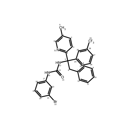 Cc1ccc(C(Cc2ccccc2)(NC(=O)Nc2cccc(Br)c2)c2cccc(C(F)(F)F)c2)nc1